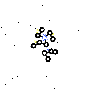 c1ccc(-c2cccc3c2c2cc4ccccc4cc2n3-c2ccc(-c3nc(-c4cccc5sc6ccccc6c45)nc(-c4cccc5sc6ccccc6c45)n3)c(-c3ccc4sc5ccccc5c4c3)c2)cc1